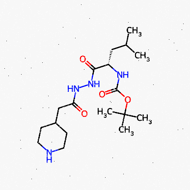 CC(C)C[C@H](NC(=O)OC(C)(C)C)C(=O)NNC(=O)CC1CCNCC1